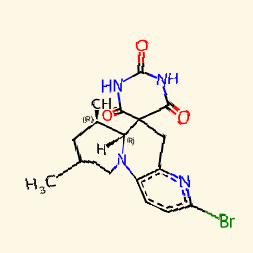 CC1C[C@@H](C)[C@H]2N(C1)c1ccc(Br)nc1CC21C(=O)NC(=O)NC1=O